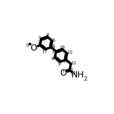 COc1cccc(-c2ccc(CC(N)=O)cc2)c1